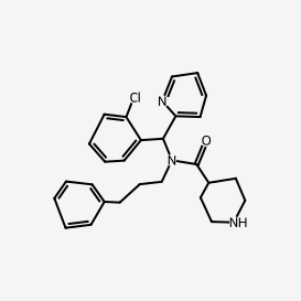 O=C(C1CCNCC1)N(CCCc1ccccc1)C(c1ccccn1)c1ccccc1Cl